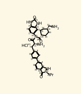 CC(C)n1[nH]c2cc(-c3ccc(C[C@H](N)C(=O)N(c4ccc5[nH]c(=O)[nH]c5c4)C(=O)[C@H]4CC[C@H](CN)CC4)cc3)ccc2c1=O.Cl